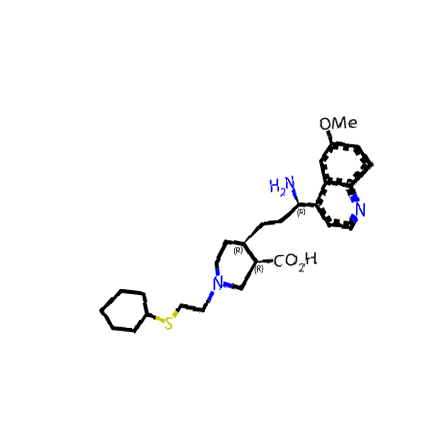 COc1ccc2nccc([C@H](N)CC[C@@H]3CCN(CCSC4CCCCC4)C[C@@H]3C(=O)O)c2c1